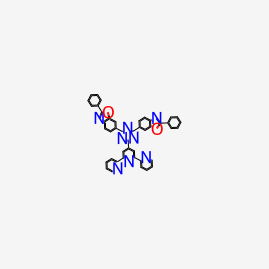 c1ccc(-c2nc3ccc(-c4nc(-c5cc(-c6ccccn6)nc(-c6ccccn6)c5)nc(-c5ccc6nc(-c7ccccc7)oc6c5)n4)cc3o2)cc1